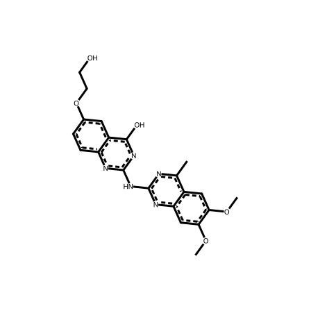 COc1cc2nc(Nc3nc(O)c4cc(OCCO)ccc4n3)nc(C)c2cc1OC